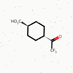 O=C(O)[C@H]1CC[C@H](C(=O)C(F)(F)F)CC1